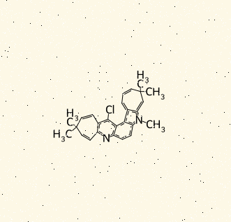 Cn1c2c(c3c4c(Cl)c5c(nc4ccc31)C=CC(C)(C)C=C5)=CC=CC(C)(C)C=2